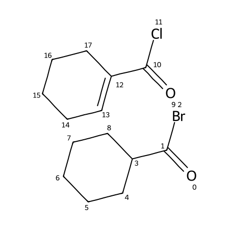 O=C(Br)C1CCCCC1.O=C(Cl)C1=CCCCC1